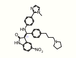 Cn1ccnc1-c1ccc(N/C(=C2\C(=O)Nc3ccc([N+](=O)[O-])cc32)c2ccc(CCCN3CCCC3)cc2)cc1